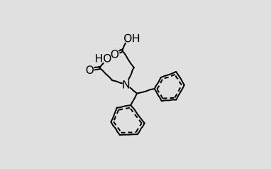 O=C(O)CN(CC(=O)O)C(c1ccccc1)c1ccccc1